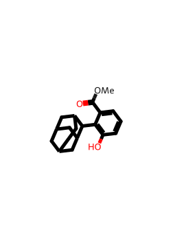 COC(=O)c1cccc(O)c1C1C2CC3CC(C2)CC1C3